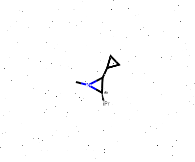 CC(C)[C@@H]1C(C2CC2)N1C